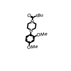 COc1ccc(N2CCN(C(=O)C(C)(C)C)CC2)c(OC)c1